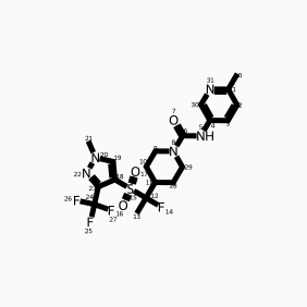 Cc1ccc(NC(=O)N2CCC(C(C)(F)S(=O)(=O)c3cn(C)nc3C(F)(F)F)CC2)cn1